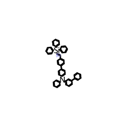 C(=C\[Si](c1ccccc1)(c1ccccc1)c1ccccc1)/c1ccc(-c2ccc(N(c3ccccc3)c3cccc(-c4ccccc4)c3)cc2)cc1